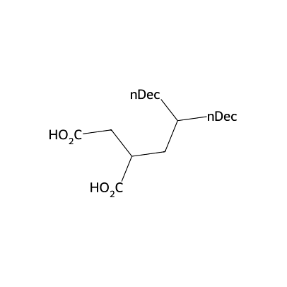 CCCCCCCCCCC(CCCCCCCCCC)CC(CC(=O)O)C(=O)O